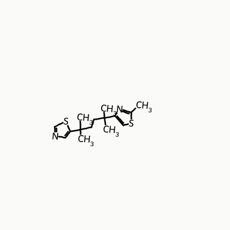 Cc1nc(C(C)(C)CCC(C)(C)c2cncs2)cs1